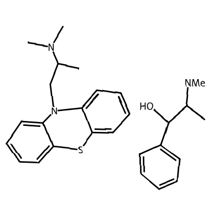 CC(CN1c2ccccc2Sc2ccccc21)N(C)C.CNC(C)C(O)c1ccccc1